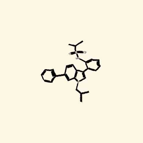 CC(C)Cn1cc(-c2ccccc2NS(=O)(=O)C(C)C)c2ccc(-c3ccccc3)cc21